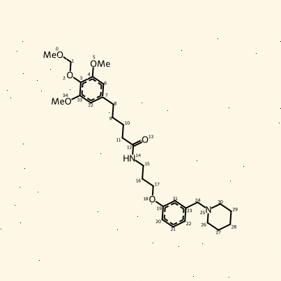 COCOc1c(OC)cc(CCCCC(=O)NCCCOc2cccc(CN3CCCCC3)c2)cc1OC